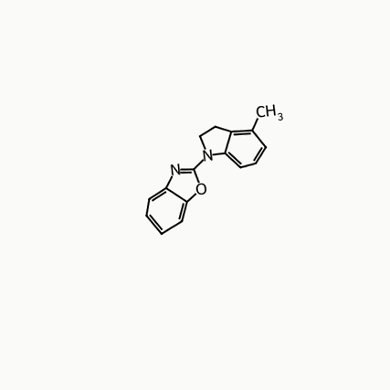 Cc1cccc2c1CCN2c1nc2ccccc2o1